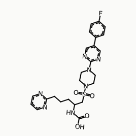 O=C(O)NC(CCCc1ncccn1)CS(=O)(=O)N1CCN(c2ncc(-c3ccc(F)cc3)cn2)CC1